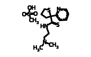 CN(C)CCNC(=S)C1(c2ccccn2)CCCS1.CS(=O)(=O)O